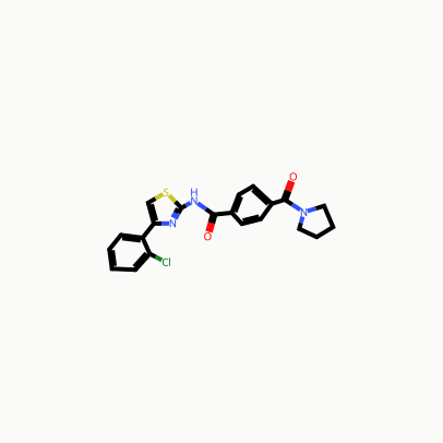 O=C(Nc1nc(-c2ccccc2Cl)cs1)c1ccc(C(=O)N2CCCC2)cc1